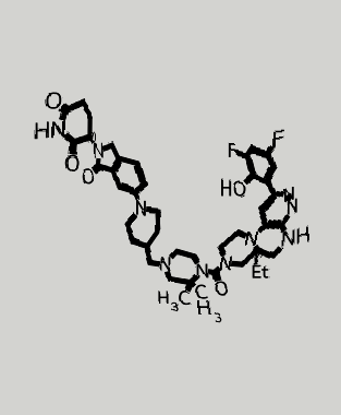 CC[C@]12CNc3nnc(-c4cc(F)cc(F)c4O)cc3N1CCN(C(=O)N1CCN(CC3CCN(c4ccc5c(c4)C(=O)N([C@@H]4CCC(=O)NC4=O)C5)CC3)CC1(C)C)C2